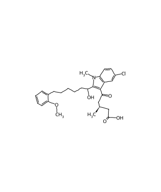 COc1ccccc1CCCCCC(O)c1c(C(=O)C[C@H](C)CC(=O)O)c2cc(Cl)ccc2n1C